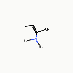 C/C=C(/C#N)N(CC)CC